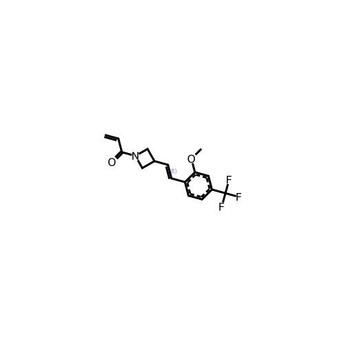 C=CC(=O)N1CC(/C=C/c2ccc(C(F)(F)F)cc2OC)C1